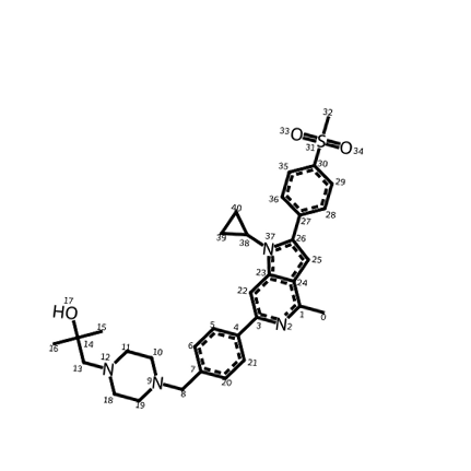 Cc1nc(-c2ccc(CN3CCN(CC(C)(C)O)CC3)cc2)cc2c1cc(-c1ccc(S(C)(=O)=O)cc1)n2C1CC1